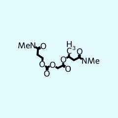 CNC(=O)CCOC(=O)OCC(=O)OC(C)CC(=O)NC